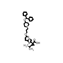 CC(C)C1CC1(C(=O)O)c1cn2nc(OCCCN3CCC(OC(c4ccccc4)c4ccccc4)CC3)ccc2n1